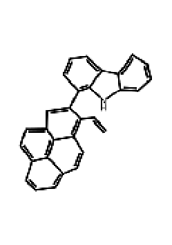 C=Cc1c(-c2cccc3c2[nH]c2ccccc23)cc2ccc3cccc4ccc1c2c34